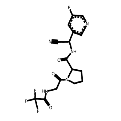 N#CC(NC(=O)C1CCCN1C(=O)CNC(=O)C(F)(F)F)c1cncc(F)c1